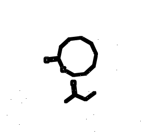 CCC(C)=O.O=C1CCCCCCCCO1